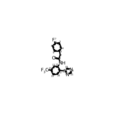 O=C(Cc1ccc(F)cc1)Nc1cc(C(F)(F)F)ccc1-n1cncn1